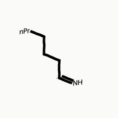 [CH2]CCCCC[C]=N